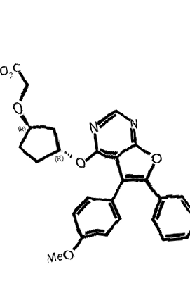 COc1ccc(-c2c(-c3ccccc3)oc3ncnc(O[C@@H]4CC[C@@H](OCC(=O)O)C4)c23)cc1